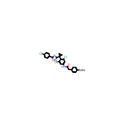 CSc1ccc(CC(=O)Nc2cc(Cl)c(C3(c4noc(-c5ccc(Cl)cc5)n4)CC3)c(Cl)c2)cc1